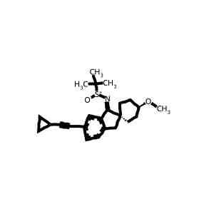 CO[C@H]1CC[C@]2(CC1)Cc1ccc(C#CC3CC3)cc1C2=N[S+]([O-])C(C)(C)C